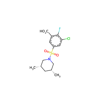 C[C@@H]1C[C@H](C)CN(S(=O)(=O)c2cc(Cl)c(F)c(C(=O)O)c2)C1